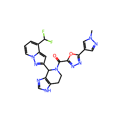 Cn1cc(-c2nnc(C(=O)N3CCc4[nH]cnc4C3c3cc4c(C(F)F)cccn4n3)o2)cn1